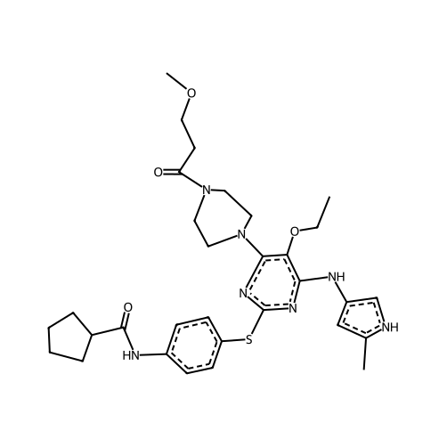 CCOc1c(Nc2c[nH]c(C)c2)nc(Sc2ccc(NC(=O)C3CCCC3)cc2)nc1N1CCN(C(=O)CCOC)CC1